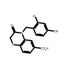 N#Cc1ccc(CN2C(=O)COc3ccc(C(=O)O)cc32)c(Cl)c1